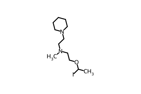 CC(I)OCCN(C)CCN1CCCCC1